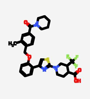 Cc1cc(C(=O)N2CCCCC2)ccc1COc1ccccc1-c1csc(N2CCC(C(=O)O)C(C(F)(F)F)C2)n1